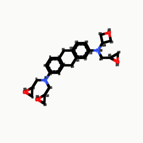 c1cc2c(cc1N(CC1CO1)CC1CO1)Cc1cc(N(CC3CO3)C3COC3)ccc1C2